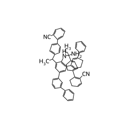 CC(c1ccc(-c2ccccc2C#N)cc1)c1cc(-c2cccc(-c3ccccc3)c2)cc(C2=CCCC(c3ccccc3)=C2)c1NC(C)(N)C1=CC=C(C2=C(C#N)C=CCC2)CC1